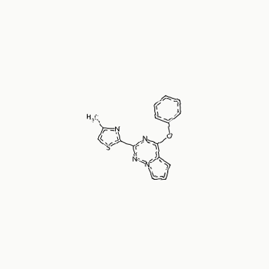 Cc1csc(-c2nc(Oc3ccccc3)c3cccn3n2)n1